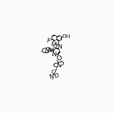 CCc1c(F)ccc2cc(O)cc(-c3nc4cc(OCC56CCCN5[C@@H](COC(=O)N(C)C)CC6)nc(N5CC6CCC(C5)N6)c4o3)c12